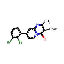 COc1c(C)nc2cc(-c3cccc(Br)c3Cl)ccn2c1=O